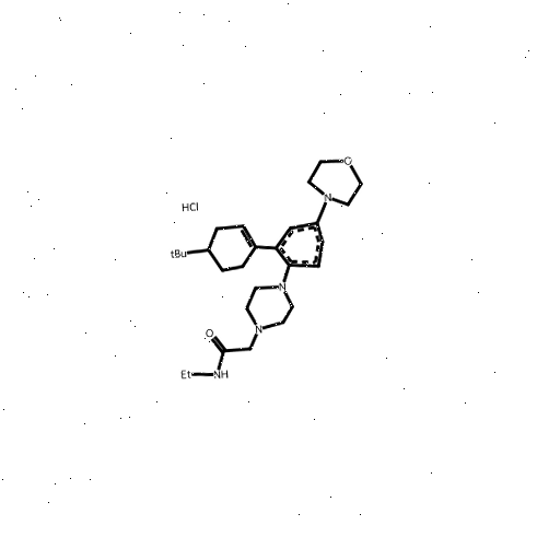 CCNC(=O)CN1CCN(c2ccc(N3CCOCC3)cc2C2=CCC(C(C)(C)C)CC2)CC1.Cl